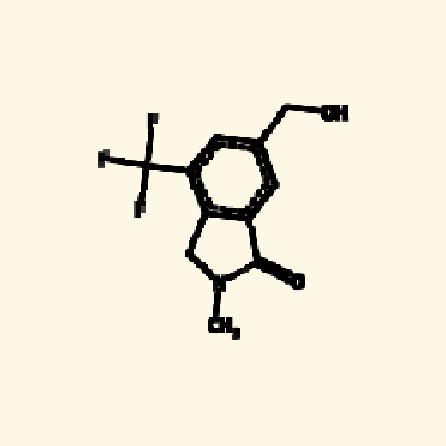 CN1Cc2c(cc(CO)cc2C(F)(F)F)C1=O